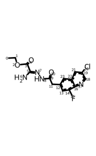 CCOC(=O)/C(N)=N/NC(=O)Cc1cc(F)c2ncc(Cl)cc2c1